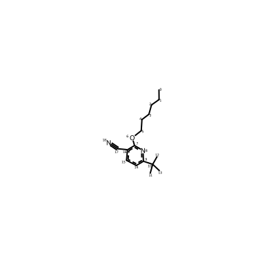 CCCCCCOc1nc(C(C)(C)C)ccc1C#N